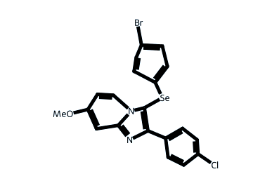 COc1ccn2c([Se]c3ccc(Br)cc3)c(-c3ccc(Cl)cc3)nc2c1